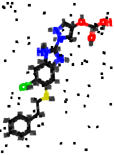 O=C(O)Oc1cnn(-c2nc3cc(SCCc4ccccc4)c(Cl)cc3[nH]2)c1